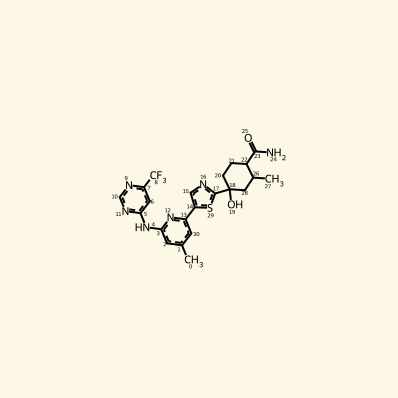 Cc1cc(Nc2cc(C(F)(F)F)ncn2)nc(-c2cnc(C3(O)CCC(C(N)=O)C(C)C3)s2)c1